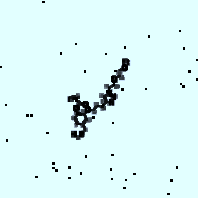 BCc1ccc(OC(=O)CCC)c(OCCCc2cn(CCOCCOCC)nn2)c1